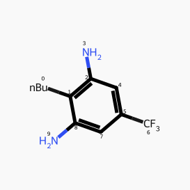 CCCCc1c(N)cc(C(F)(F)F)cc1N